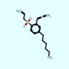 C=C=Cc1cc(CCCCCC)ccc1S(=O)(=O)CC=C